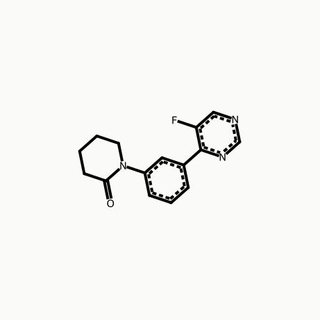 O=C1CCCCN1c1cccc(-c2ncncc2F)c1